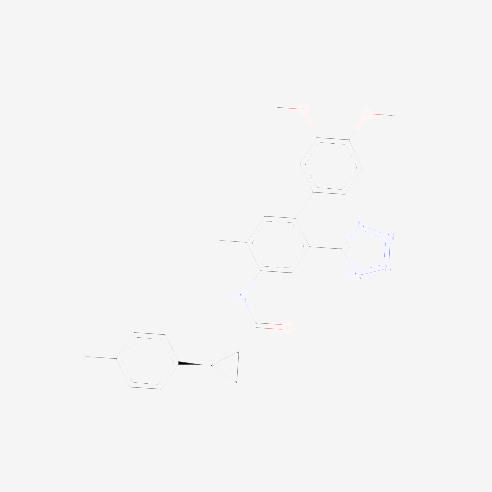 COc1ccc(-c2cc(F)c(NC(=O)[C@@H]3C[C@H]3c3ccc(Cl)cc3)cc2-c2nnn[nH]2)cc1OC